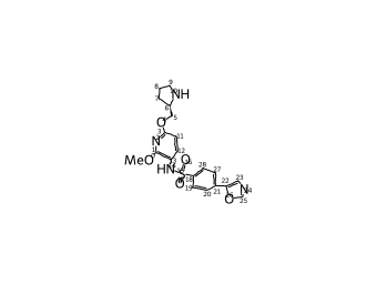 COc1nc(OC[C@H]2CCCN2)ccc1NS(=O)(=O)c1ccc(-c2cnco2)cc1